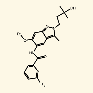 CCOc1cc2nn(CCC(C)(C)O)c(C)c2cc1NC(=O)c1cccc(C(F)(F)F)n1